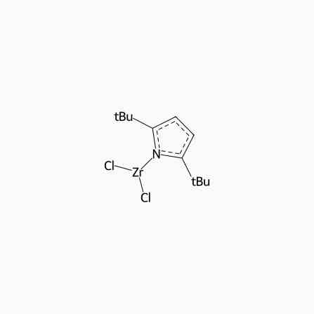 CC(C)(C)c1ccc(C(C)(C)C)[n]1[Zr]([Cl])[Cl]